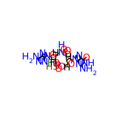 Nc1nc2c(ncn2[C@@H]2O[C@@H]3CO[P@](=O)(S)O[C@H]4[C@@H](F)[C@H](n5cnc6c(N)ncnc65)O[C@@H]4CNS(=O)(=O)O[C@@H]2C3)c(=O)[nH]1